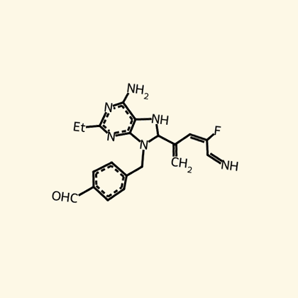 C=C(/C=C(/F)C=N)C1Nc2c(N)nc(CC)nc2N1Cc1ccc(C=O)cc1